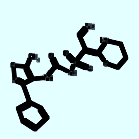 Cc1onc(-c2ccccc2)c1NC(=O)NS(=O)(=O)/C(C=N)=C1/NCCCO1